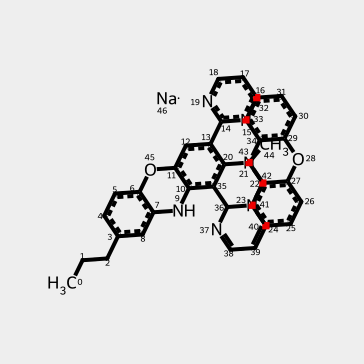 CCCc1ccc2c(c1)Nc1c(cc(-c3ncccn3)c(N3c4ccccc4Oc4ccccc43)c1C1N=CC=CN1CCC)O2.[Na]